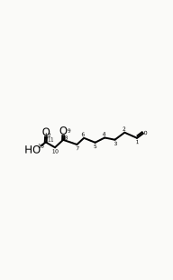 C=CCCCCCCC(=O)CC(=O)O